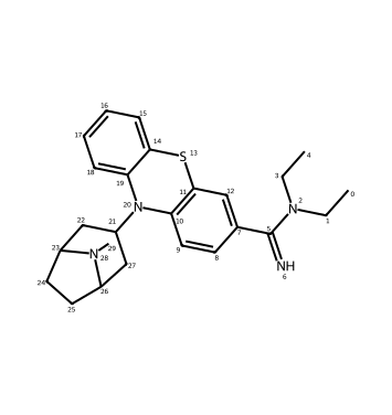 CCN(CC)C(=N)c1ccc2c(c1)Sc1ccccc1N2C1CC2CCC(C1)N2C